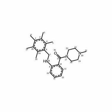 Cc1c(C)c(C)c(CNc2ccccc2C(=O)N2CCN(C)CC2)c(C)c1C